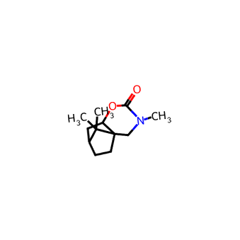 CN1CC23CCC(CC2OC1=O)C3(C)C